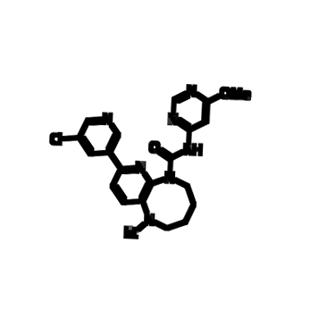 CCN1CCCCN(C(=O)Nc2cc(OC)ncn2)c2nc(-c3cncc(Cl)c3)ccc21